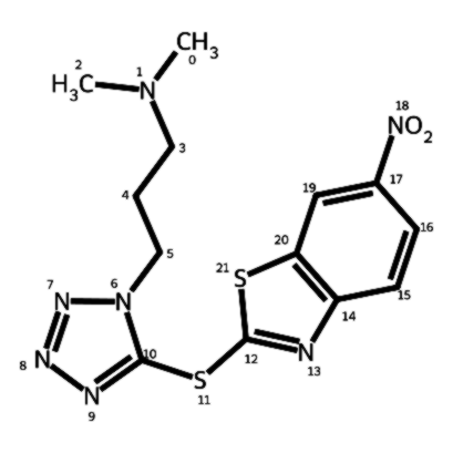 CN(C)CCCn1nnnc1Sc1nc2ccc([N+](=O)[O-])cc2s1